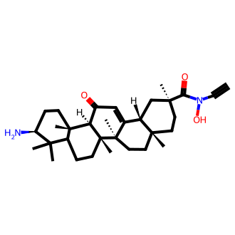 C#CN(O)C(=O)[C@@]1(C)CC[C@]2(C)CC[C@]3(C)C(=CC(=O)[C@@H]4[C@@]5(C)CC[C@H](N)C(C)(C)C5CC[C@]43C)[C@@H]2C1